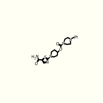 CC(C)N1CCN(C(=O)OC2CCN(c3ncc(C(N)=O)s3)CC2)CC1